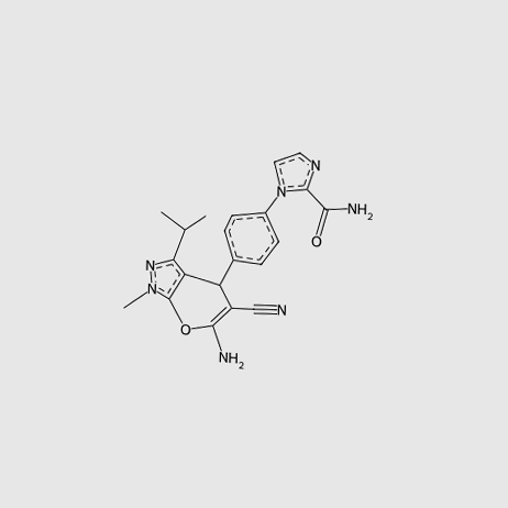 CC(C)c1nn(C)c2c1C(c1ccc(-n3ccnc3C(N)=O)cc1)C(C#N)=C(N)O2